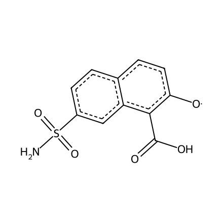 NS(=O)(=O)c1ccc2ccc([O])c(C(=O)O)c2c1